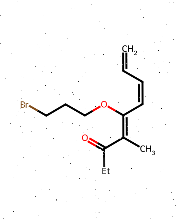 C=C/C=C\C(OCCCBr)=C(/C)C(=O)CC